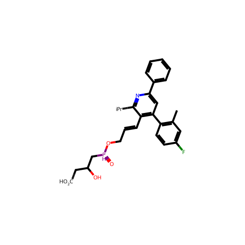 Cc1cc(F)ccc1-c1cc(-c2ccccc2)nc(C(C)C)c1C=CCO[PH](=O)CC(O)CC(=O)O